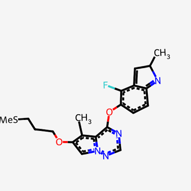 CSCCCOc1cn2ncnc(Oc3ccc4c(c3F)=CC(C)N=4)c2c1C